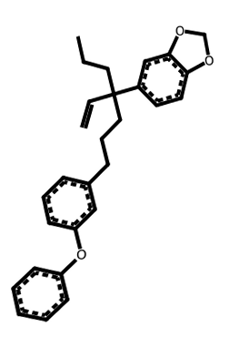 C=CC(CCC)(CCCc1cccc(Oc2ccccc2)c1)c1ccc2c(c1)OCO2